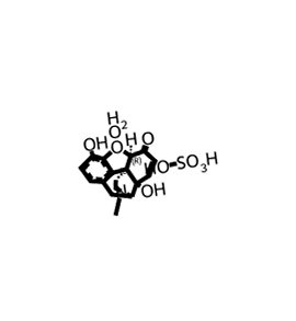 CN1CC[C@]23c4c5ccc(O)c4O[C@H]2C(=O)C=CC3(O)C1C5.O.O=S(=O)(O)O